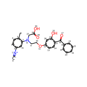 [C-]#[N+]c1ccc(C)c(N(CCOc2ccc(C(=O)c3ccccc3)c(O)c2)CC(=O)O)c1